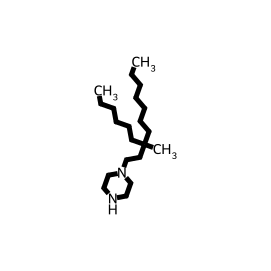 CCCCCCCC(C)(CCCCCC)CCN1CCNCC1